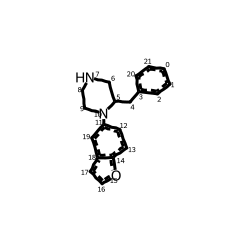 c1ccc(CC2CNCCN2c2ccc3occc3c2)cc1